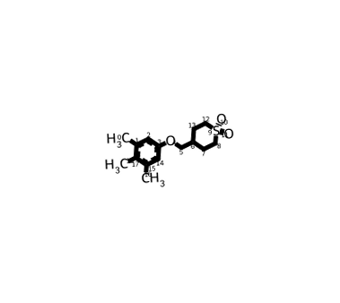 Cc1cc(OCC2CCS(=O)(=O)CC2)cc(C)c1C